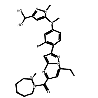 CCc1cc(C(=O)N2CCCCC[C@H]2C)nc2cc(-c3ccc(N(C)c4cc(C(O)O)nn4C)cc3F)nn12